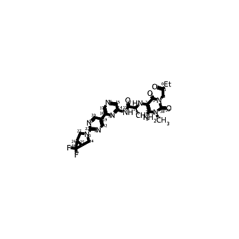 CCC(=O)Cn1c(=O)c(N[C@@H](C)C(=O)Nc2cncc(-c3cnc(N4CC5C(C4)C5(F)F)nc3)n2)c(N)n(C)c1=O